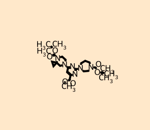 COC(=O)c1cc(N2CCN(C(=O)OC(C)(C)C)C3(CC3)C2)nc(N2CCCN(C(=O)OC(C)(C)C)CC2)n1